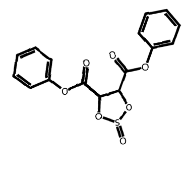 O=C(Oc1ccccc1)C1OS(=O)OC1C(=O)Oc1ccccc1